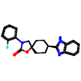 O=C1O[C@]2(CC[C@H](c3nc4ccccc4[nH]3)CC2)CN1c1ccccc1F